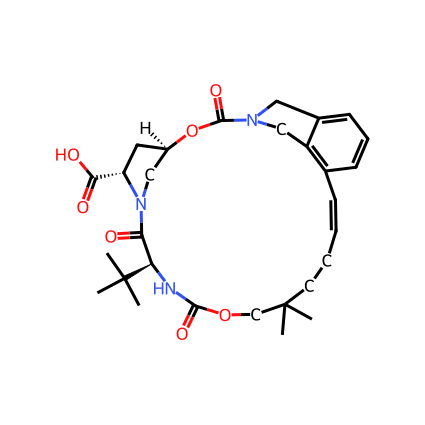 CC1(C)CC/C=C\c2cccc3c2CN(C3)C(=O)O[C@@H]2C[C@@H](C(=O)O)N(C2)C(=O)[C@H](C(C)(C)C)NC(=O)OC1